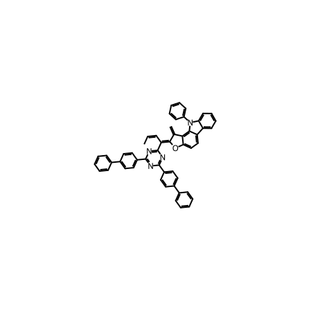 C=c1/c(=C(\C=C/C)c2nc(-c3ccc(-c4ccccc4)cc3)nc(-c3ccc(-c4ccccc4)cc3)n2)oc2ccc3c4ccccc4n(-c4ccccc4)c3c12